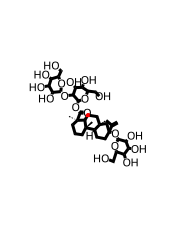 C=C1C[C@@]23CCC4[C@](C)(C(=O)OC5OC(CO)C(O)C(O)C5OC5OC(CO)C(O)C(O)C5O)CCC[C@@]4(C)[C@@H]2CCC1(OC1OC(CO)C(O)C(O)C1O)C3